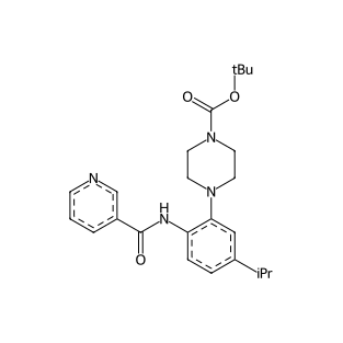 CC(C)c1ccc(NC(=O)c2cccnc2)c(N2CCN(C(=O)OC(C)(C)C)CC2)c1